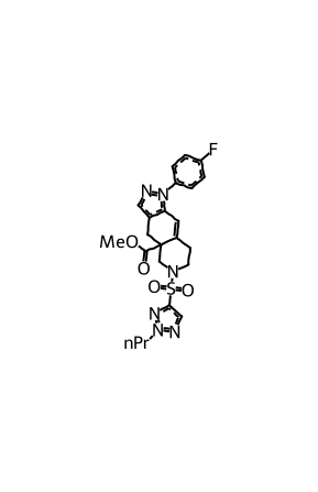 CCCn1ncc(S(=O)(=O)N2CCC3=Cc4c(cnn4-c4ccc(F)cc4)CC3(C(=O)OC)C2)n1